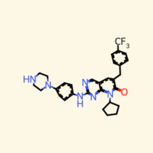 O=c1c(Cc2ccc(C(F)(F)F)cc2)cc2cnc(Nc3ccc(N4CCNCC4)cc3)nc2n1C1CCCC1